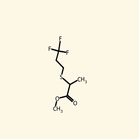 COC(=O)C(C)SCCC(F)(F)F